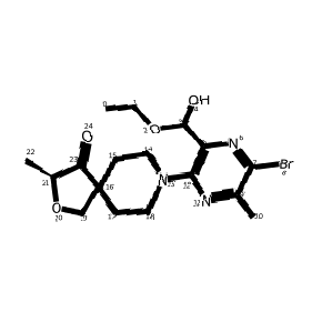 CCOC(O)c1nc(Br)c(C)nc1N1CCC2(CC1)CO[C@@H](C)C2=O